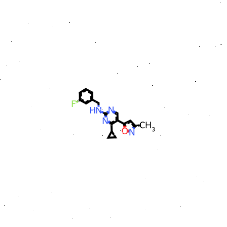 Cc1cc(-c2cnc(NCc3cccc(F)c3)nc2C2CC2)on1